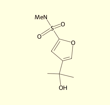 CNS(=O)(=O)c1cc(C(C)(C)O)co1